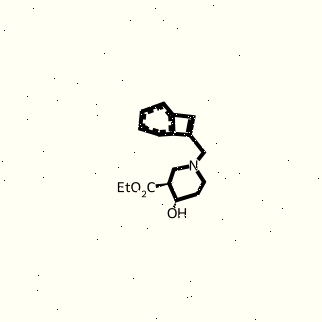 CCOC(=O)[C@H]1CN(CC2=Cc3ccccc32)CC[C@@H]1O